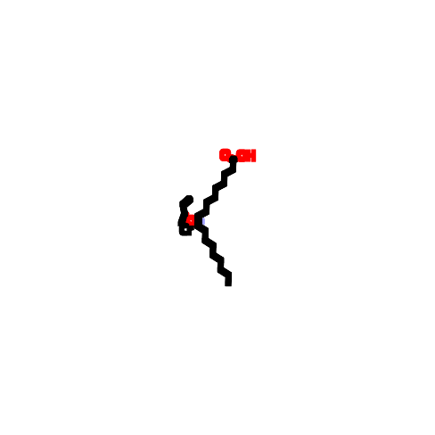 C=CC1CO1.CCCCCCCC/C=C\CCCCCCCC(=O)O.[Cr]